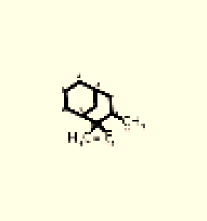 CC1CC2CCCC(C2)C1(C)F